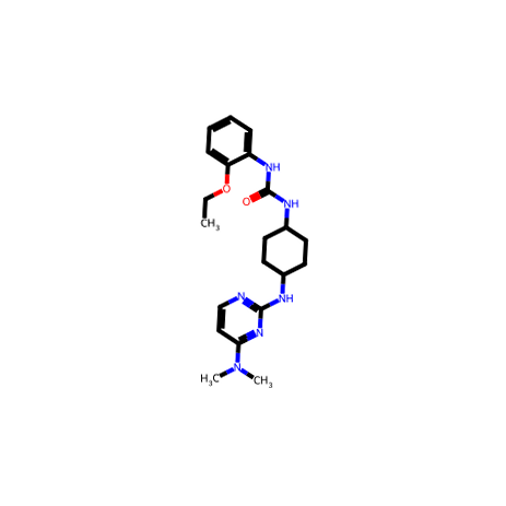 CCOc1ccccc1NC(=O)NC1CCC(Nc2nccc(N(C)C)n2)CC1